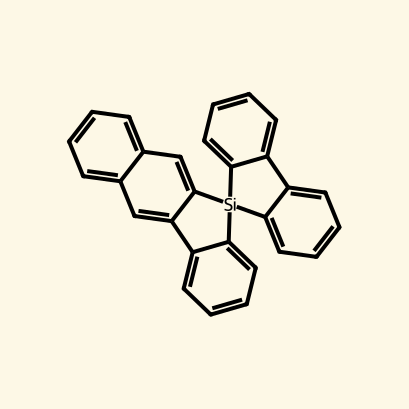 c1ccc2c(c1)-c1ccccc1[Si]21c2ccccc2-c2cc3ccccc3cc21